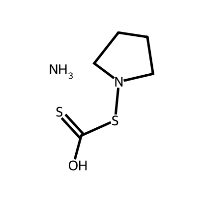 N.OC(=S)SN1CCCC1